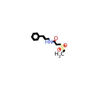 C=CS(=O)(=O)CCC(=O)NCC=Cc1ccccc1